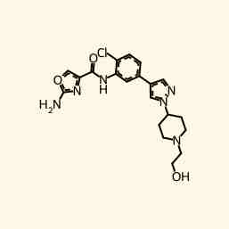 Nc1nc(C(=O)Nc2cc(-c3cnn(C4CCN(CCO)CC4)c3)ccc2Cl)co1